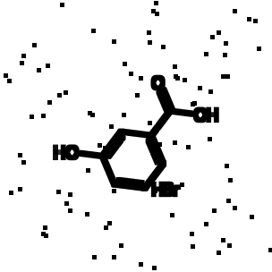 Br.O=C(O)c1cccc(O)c1